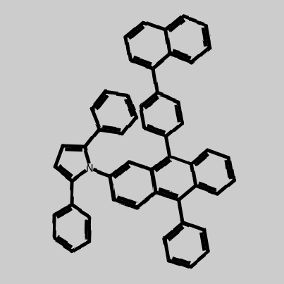 c1ccc(-c2c3ccccc3c(-c3ccc(-c4cccc5ccccc45)cc3)c3cc(-n4c(-c5ccccc5)ccc4-c4ccccc4)ccc23)cc1